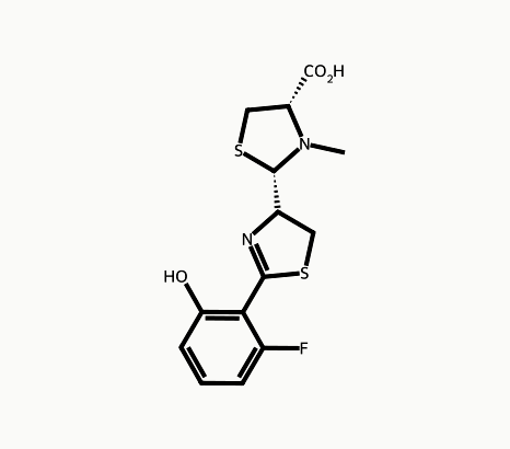 CN1[C@@H](C(=O)O)CS[C@H]1C1CSC(c2c(O)cccc2F)=N1